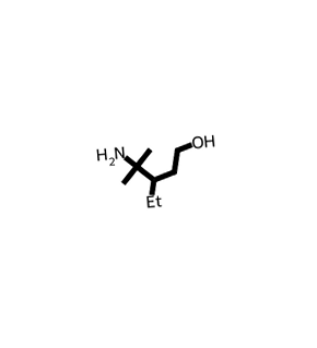 CCC(CCO)C(C)(C)N